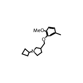 COc1ccc(C)cc1OCC1CCN(C2CCC2)C1